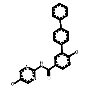 O=C(Nc1ncc(Cl)cn1)c1ccc(Cl)c(-c2ccc(-c3ccccc3)cc2)c1